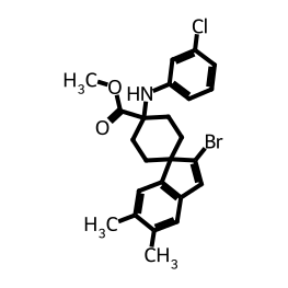 COC(=O)C1(Nc2cccc(Cl)c2)CCC2(CC1)C(Br)=Cc1cc(C)c(C)cc12